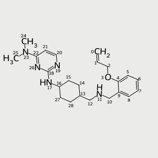 C=CCOc1ccccc1CNCC1CCC(Nc2nccc(N(C)C)n2)CC1